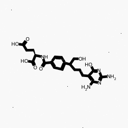 Nc1nc(N)c(CCCC(CO)c2ccc(C(=O)N[C@H](CCC(=O)O)C(=O)O)cc2)c(O)n1